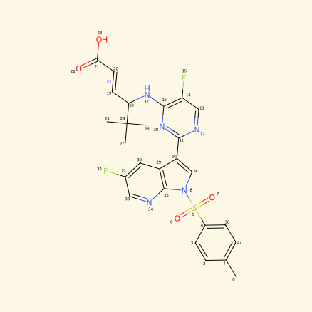 Cc1ccc(S(=O)(=O)n2cc(-c3ncc(F)c(NC(/C=C/C(=O)O)C(C)(C)C)n3)c3cc(F)cnc32)cc1